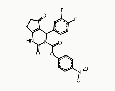 O=C1CCC2=C1C(c1ccc(F)c(F)c1)N(C(=O)Oc1ccc([N+](=O)[O-])cc1)C(=O)N2